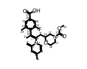 C=C1C=C(C)C=CN1/C(CC1CN(C(=O)OC)CCO1)=C(\C)c1c(C)cc(C(=O)O)cc1F